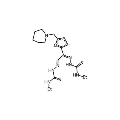 CCNC(=S)N/N=C/C(=N\NC(=S)NCC)c1ccc(CN2CCCCC2)o1